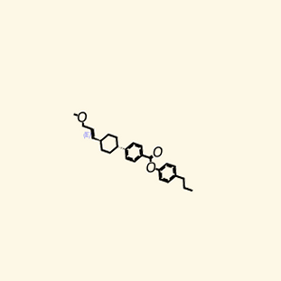 CCCc1ccc(OC(=O)c2ccc([C@H]3CC[C@H](/C=C/COC)CC3)cc2)cc1